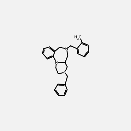 Cc1ccccc1CN1Cc2ccccc2N2CCN(Cc3ccccc3)CC2C1